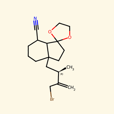 C=C(CBr)[C@H](C)CC12CCCC(C#N)C1C1(CC2)OCCO1